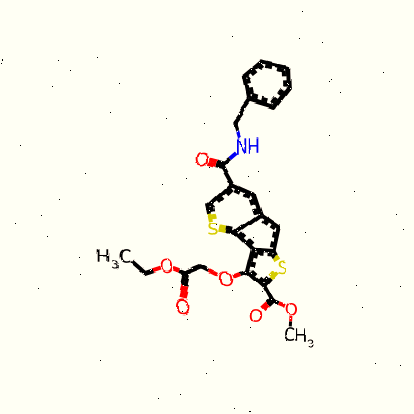 CCOC(=O)COc1c(C(=O)OC)sc2cc3cc(C(=O)NCc4ccccc4)csc-3c12